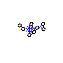 c1ccc(-c2nc(-c3ccc4sc5ccccc5c4c3)nc(-n3c4ccccc4c4ccc5c6cc(-n7c8ccccc8c8ccccc87)ccc6n(-c6ccccc6)c5c43)n2)cc1